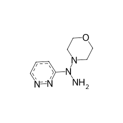 NN(c1cccnn1)N1CCOCC1